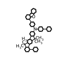 CC1(C)c2cc(N(c3ccc(-c4ccccc4)cc3)c3ccc(-c4cccc5c4oc4ccccc45)cc3)ccc2-c2cc3c(cc21)-c1c(-c2ccccc2)cccc1C3(C)C